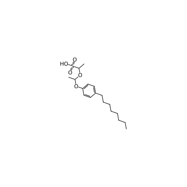 CCCCCCCCc1ccc(OC(C)OC(C)S(=O)(=O)O)cc1